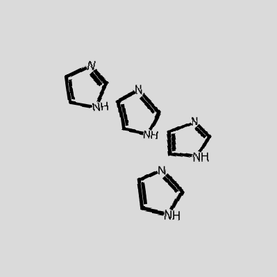 c1c[nH]cn1.c1c[nH]cn1.c1c[nH]cn1.c1c[nH]cn1